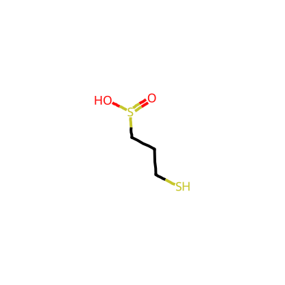 O=S(O)CCCS